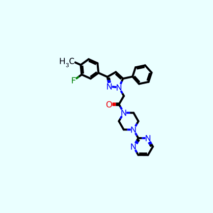 Cc1ccc(-c2cc(-c3ccccc3)n(CC(=O)N3CCN(c4ncccn4)CC3)n2)cc1F